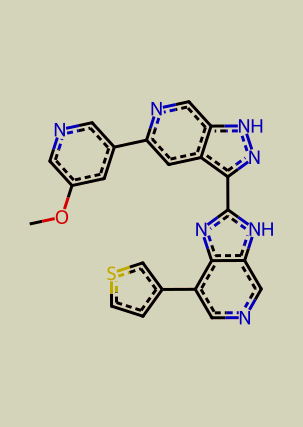 COc1cncc(-c2cc3c(-c4nc5c(-c6ccsc6)cncc5[nH]4)n[nH]c3cn2)c1